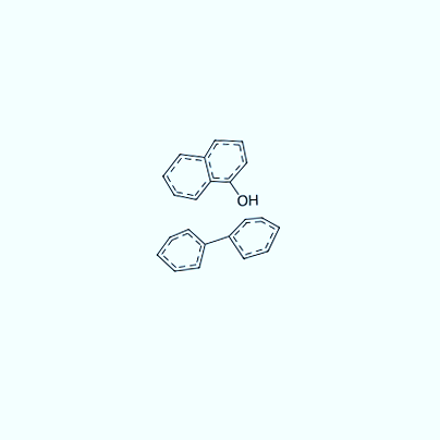 Oc1cccc2ccccc12.c1ccc(-c2ccccc2)cc1